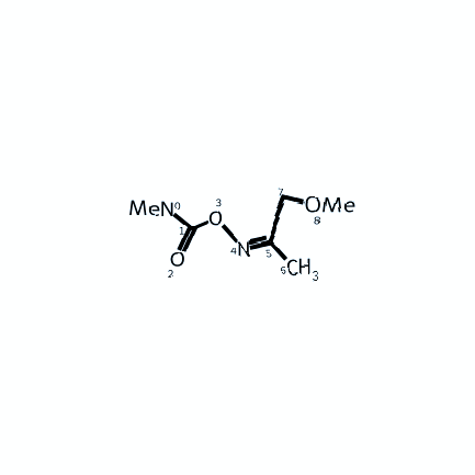 CNC(=O)ON=C(C)COC